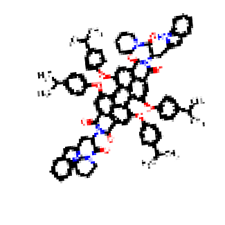 CC(C)c1ccc(Oc2cc3c4c(cc(Oc5ccc(C(C)C)cc5)c5c6c(Oc7ccc(C(C)C)cc7)cc7c8c(cc(Oc9ccc(C(C)C)cc9)c(c2c45)c86)C(=O)N(C(Cc2cc4ccccc4[nH]2)C(=O)N2CCCCC2)C7=O)C(=O)N(C(Cc2cc4ccccc4[nH]2)C(=O)N2CCCCC2)C3=O)cc1